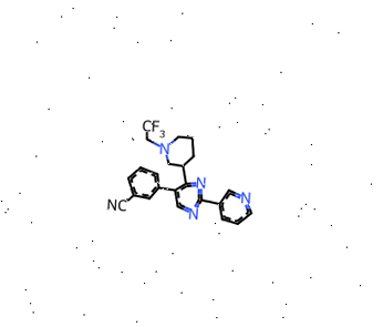 N#Cc1cccc(-c2cnc(-c3cccnc3)nc2C2CCCN(CC(F)(F)F)C2)c1